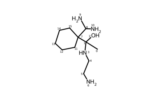 CC(O)(NCCN)C1(C(N)N)CCCCC1